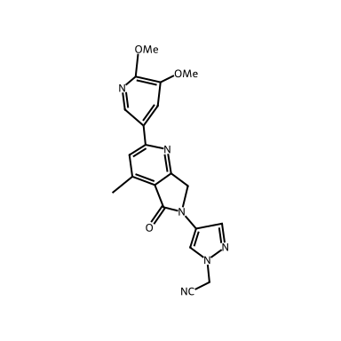 COc1cc(-c2cc(C)c3c(n2)CN(c2cnn(CC#N)c2)C3=O)cnc1OC